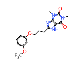 Cn1c(=O)c2[nH]c(CCCOc3cccc(OC(F)(F)F)c3)nc2n(C)c1=O